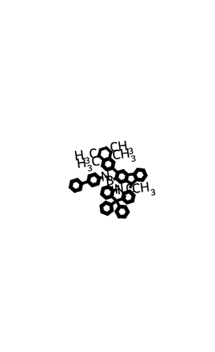 CC1(C)CCC(C)(C)c2cc3c(cc21)-c1cc2c(c4c1B(c1cccc5c1N4c1ccccc1C5(c1ccccc1)c1ccccc1)N3c1ccc(-c3ccccc3)cc1)C(C)(C)c1ccccc1-2